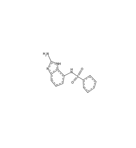 Nc1nc2cccc(NS(=O)(=O)c3ccccc3)c2[nH]1